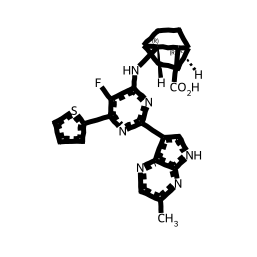 Cc1cnc2c(-c3nc(N[C@@H]4C5CCC(CC5)[C@H]4C(=O)O)c(F)c(-c4cccs4)n3)c[nH]c2n1